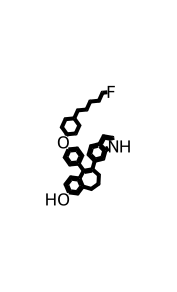 Oc1ccc2c(c1)CCCC(c1ccc3cc[nH]c3c1)=C2c1ccc(OC2CCC(CCCCCF)CC2)cc1